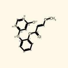 COC=CC(=O)Oc1ccccc1Oc1cc(Cl)ncn1